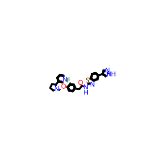 CN1CCCC1c1cccnc1Oc1ccc(CC(=O)Nc2nc3cc(-c4cn[nH]c4)ccc3s2)cc1F